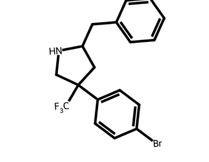 FC(F)(F)C1(c2ccc(Br)cc2)CNC(Cc2ccccc2)C1